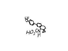 O=C(O)NC1c2cc(-c3ccc(OC(F)(F)F)cc3)ccc2CCC12CC2